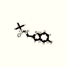 CC(C)(C)[S+]([O-])/N=C/c1cc2cc(F)ccc2s1